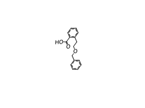 O=C(O)c1ccccc1CCOCc1ccccc1